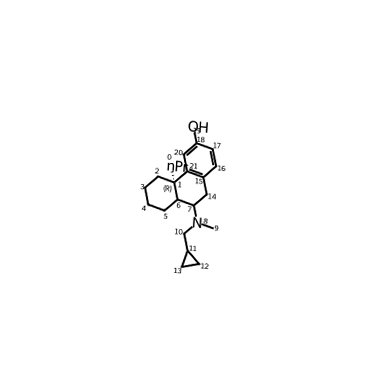 CCC[C@@]12CCCCC1C(N(C)CC1CC1)Cc1ccc(O)cc12